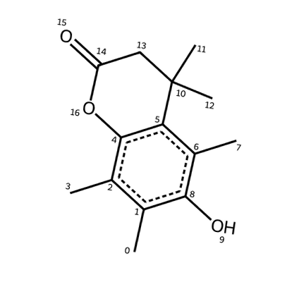 Cc1c(C)c2c(c(C)c1O)C(C)(C)CC(=O)O2